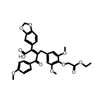 CCOC(=O)COc1c(OC)cc(CC(C(=O)c2ccc(OC)cc2)=C(C(=O)O)c2ccc3c(c2)OCO3)cc1OC